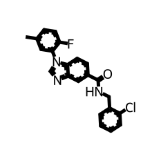 Cc1ccc(F)c(-n2cnc3cc(C(=O)NCc4ccccc4Cl)ccc32)c1